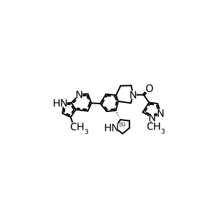 Cc1c[nH]c2ncc(-c3cc4c(c([C@@H]5CCCN5)c3)CN(C(=O)c3cnn(C)c3)CC4)cc12